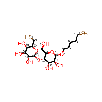 OCC1O[C@@H](OCCCCCS)C(O)[C@@H](O)[C@@H]1O[C@@H]1OC(CS)[C@H](O)C(O)[C@@H]1O